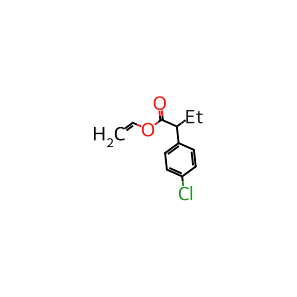 C=COC(=O)C(CC)c1ccc(Cl)cc1